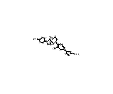 Cn1cc(-c2cnc(N3CCC[C@]4(CCN(C5CCC(O)CC5)C4=O)C3)c(Cl)c2)cn1